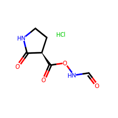 Cl.O=CNOC(=O)[C@@H]1CCNC1=O